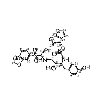 CC(C)C(NC[C@@H](O)[C@H](Cc1ccc(O)cc1)NC(=O)Oc1coc2occc12)S(=O)(=O)c1ccc2c(c1)OCO2